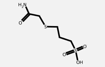 NC(=O)CSCCCS(=O)(=O)O